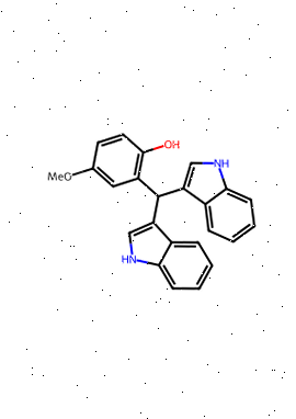 COc1ccc(O)c(C(c2c[nH]c3ccccc23)c2c[nH]c3ccccc23)c1